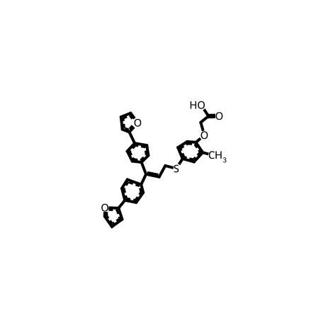 Cc1cc(SCC=C(c2ccc(-c3ccco3)cc2)c2ccc(-c3ccco3)cc2)ccc1OCC(=O)O